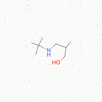 CC(CO)CNC(C)(C)C